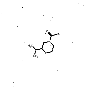 CC(C)C(=O)N1CCOC(C(C)N)C1